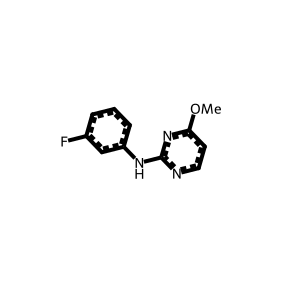 COc1ccnc(Nc2cccc(F)c2)n1